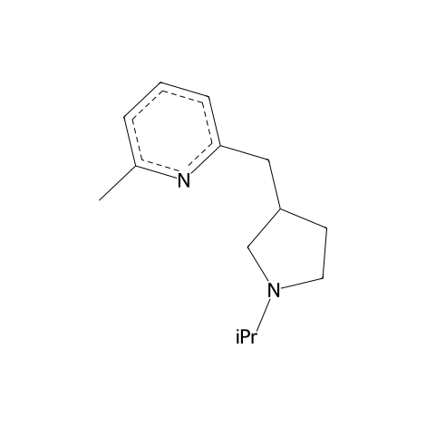 Cc1cccc(CC2CCN(C(C)C)C2)n1